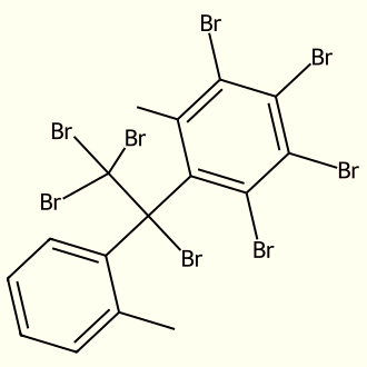 Cc1ccccc1C(Br)(c1c(C)c(Br)c(Br)c(Br)c1Br)C(Br)(Br)Br